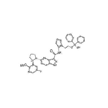 COc1ncc(F)cc1[C@H]1CCCN1c1ncc2[nH]nc(C(=O)Nc3ccnn3CCO[Si](c3ccccc3)(c3ccccc3)C(C)(C)C)c2n1